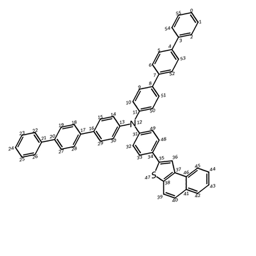 c1ccc(-c2ccc(-c3ccc(N(c4ccc(-c5ccc(-c6ccccc6)cc5)cc4)c4ccc(-c5cc6c(ccc7ccccc76)s5)cc4)cc3)cc2)cc1